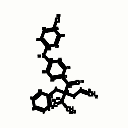 C=CCC(Cc1ccccc1)(C(=O)c1ccc(Sc2ccc(Cl)cc2)cc1)N(C)C